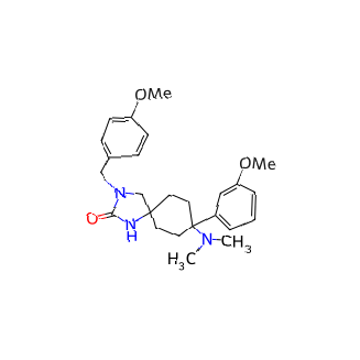 COc1ccc(CN2CC3(CCC(c4cccc(OC)c4)(N(C)C)CC3)NC2=O)cc1